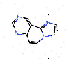 c1ncc2c(ccn3ccnc23)n1